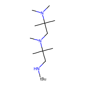 CN(C)C(C)(C)CN(C)C(C)(C)CNC(C)(C)C